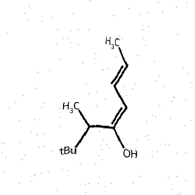 C/C=C/C=C(/O)C(C)C(C)(C)C